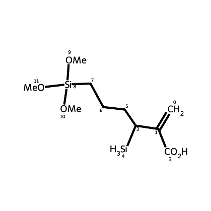 C=C(C(=O)O)C([SiH3])CCC[Si](OC)(OC)OC